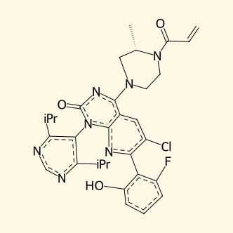 C=CC(=O)N1CCN(c2nc(=O)n(-c3c(C(C)C)ncnc3C(C)C)c3nc(-c4c(O)cccc4F)c(Cl)cc23)C[C@@H]1C